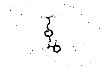 C=C(C)CCc1ccc(CNC(=C)c2ccccc2C)cc1